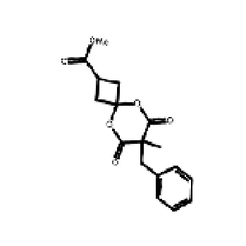 COC(=O)C1CC2(C1)OC(=O)C(C)(Cc1ccccc1)C(=O)O2